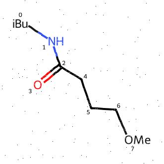 CCC(C)NC(=O)CCCOC